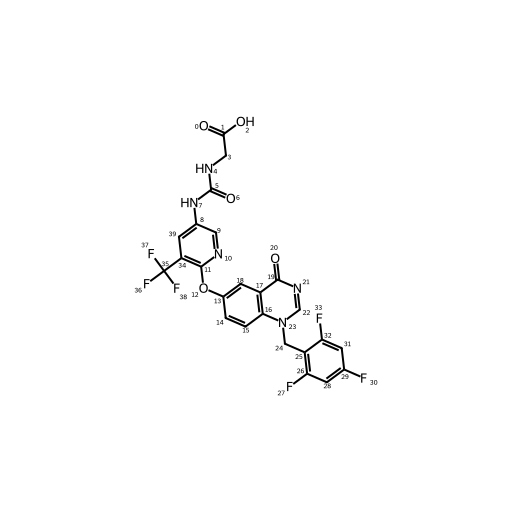 O=C(O)CNC(=O)Nc1cnc(Oc2ccc3c(c2)c(=O)ncn3Cc2c(F)cc(F)cc2F)c(C(F)(F)F)c1